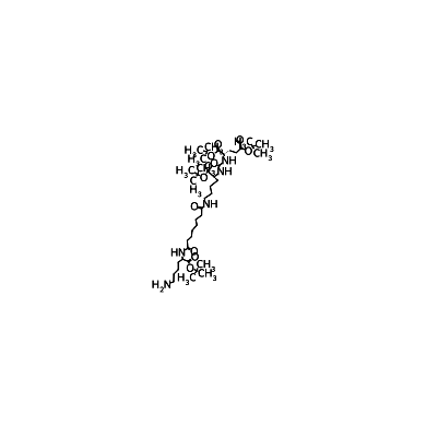 CC(C)(C)OC(=O)CC[C@H](NC(=O)N[C@@H](CCCCNC(=O)CCCCCCC(=O)NC(CCCCN)C(=O)OC(C)(C)C)C(=O)OC(C)(C)C)C(=O)OC(C)(C)C